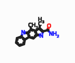 CC1=C(C(N)=O)N=c2cc3c(c(C)c21)=Nc1ccccc1-3